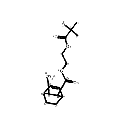 CCC(C)(C)C(=O)OCCOC(=O)C1C2C=CC(CC2)C1C(=O)O